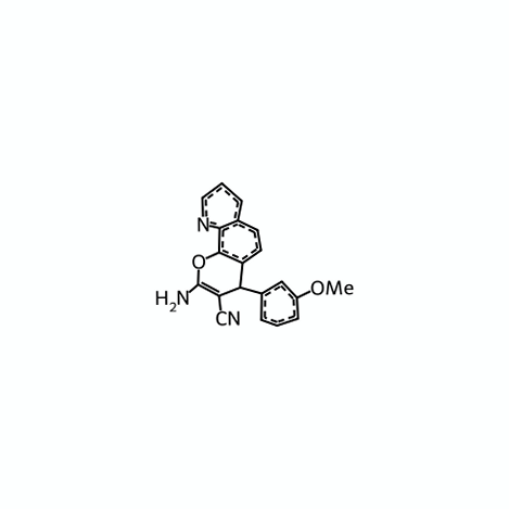 COc1cccc(C2C(C#N)=C(N)Oc3c2ccc2cccnc32)c1